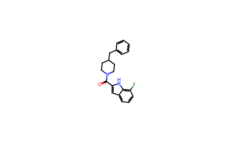 O=C(c1cc2cccc(F)c2[nH]1)N1CCC(Cc2ccccc2)CC1